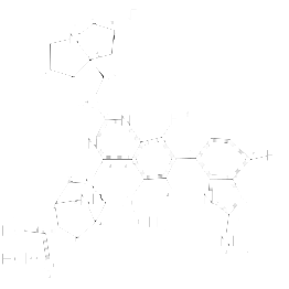 COc1c(F)c(-c2ccc(F)c3sc(N)nc23)c(F)c2nc(OC[C@@]34CCCN3C[C@H](F)C4)nc(N3CC4CCC(C3)N4)c12.Cl.O=CO